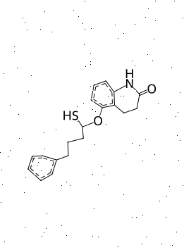 O=C1CCc2c(cccc2OC(S)CCCc2ccccc2)N1